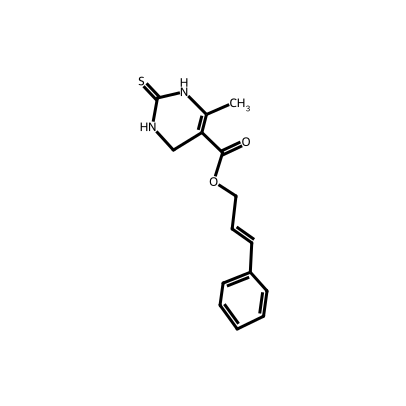 CC1=C(C(=O)OCC=Cc2ccccc2)CNC(=S)N1